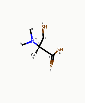 CC(=O)[C@@](CS)(C(=S)S)N(C)C